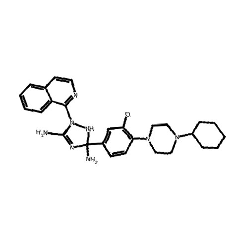 NC1=NC(N)(c2ccc(N3CCN(C4CCCCC4)CC3)c(Cl)c2)NN1c1nccc2ccccc12